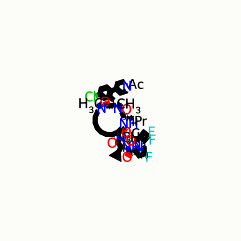 CC(=O)N1CC=C(c2ccc(Cl)cc2C[C@H]2C(=O)N(C)CCCCCCC[C@H](N(C)C(=O)[C@@H](NC(=O)[C@@H]3C[C@@H](F)CN3C(=O)C3(C(F)(F)F)CC(F)(F)C3)C3CC3)C(=O)N[C@@H](CC(C)C)C(=O)N2C)CC1